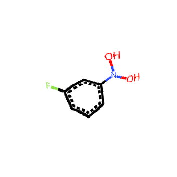 ON(O)c1cccc(F)c1